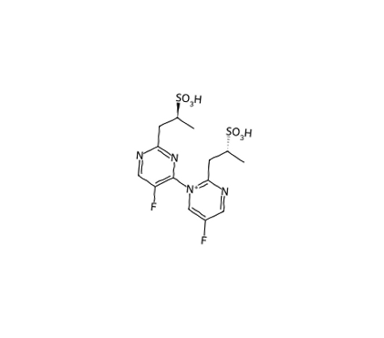 C[C@H](Cc1ncc(F)c[n+]1-c1nc(C[C@H](C)S(=O)(=O)O)ncc1F)S(=O)(=O)O